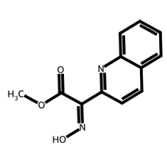 COC(=O)/C(=N\O)c1ccc2ccccc2n1